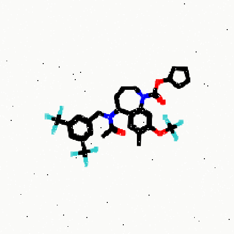 CC(=O)N(Cc1cc(C(F)(F)F)cc(C(F)(F)F)c1)C1CCCN(C(=O)OC2CCCC2)c2cc(OC(F)(F)F)c(C)cc21